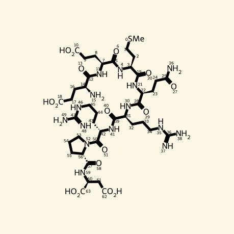 CSCC[C@H](NC(=O)[C@H](CCC(=O)O)NC(=O)[C@@H](N)CCC(=O)O)C(=O)N[C@@H](CCC(N)=O)C(=O)N[C@@H](CCCNC(=N)N)C(=O)N[C@@H](CCCNC(=N)N)C(=O)N1CCC[C@H]1C(=O)N[C@@H](CC(=O)O)C(=O)O